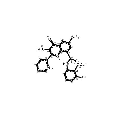 Cc1cc(C(C)Nc2cccc(F)c2C(=O)O)c2oc(-c3ccccn3)c(C)c(=O)c2c1